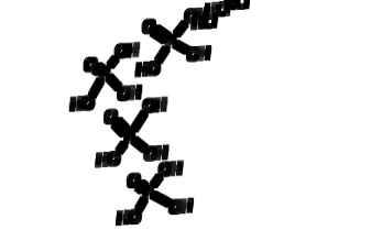 Cl.Cl.Cl.Cl.O=P(O)(O)O.O=P(O)(O)O.O=P(O)(O)O.O=P(O)(O)O